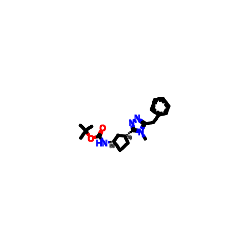 Cn1c(Cc2ccccc2)nnc1[C@@H]1CC[C@H](NC(=O)OC(C)(C)C)C1